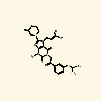 CC(C)=CCn1c(N2CCCC(N)C2)nc2c1c(=O)n(CC(=O)c1cccc(OC(C)C)c1)c(=O)n2C